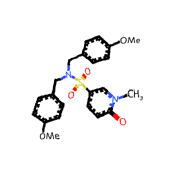 COc1ccc(CN(Cc2ccc(OC)cc2)S(=O)(=O)c2ccc(=O)n(C)c2)cc1